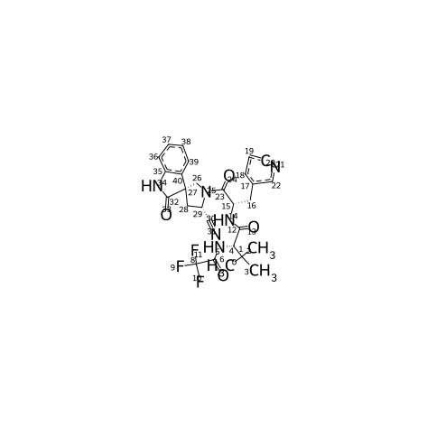 CC(C)(C)[C@H](NC(=O)C(F)(F)F)C(=O)N[C@@H](Cc1cccnc1)C(=O)N1C[C@]2(C[C@H]1C#N)C(=O)Nc1ccccc12